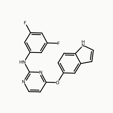 Fc1cc(F)cc(Nc2nccc(Oc3ccc4[nH]ccc4c3)n2)c1